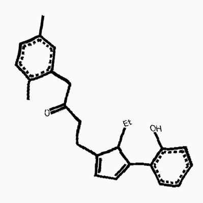 CCC1C(CCC(=O)Cc2cc(C)ccc2C)=CC=C1c1ccccc1O